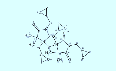 CC1(C)C(=O)N(CC2CO2)C(=O)[N+]1(CC1CO1)C[N+]1(CC2CO2)C(=O)N(CC2CO2)C(=O)C1(C)C